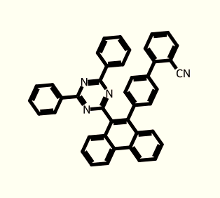 N#Cc1ccccc1-c1ccc(-c2c(-c3nc(-c4ccccc4)nc(-c4ccccc4)n3)c3ccccc3c3ccccc23)cc1